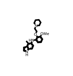 COc1cccc(Nc2ccc3[nH]ccc3c2C)c1OCCN1CCCCC1